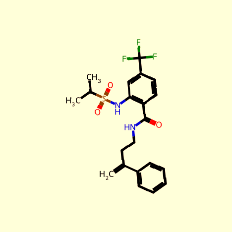 C=C(CCNC(=O)c1ccc(C(F)(F)F)cc1NS(=O)(=O)C(C)C)c1ccccc1